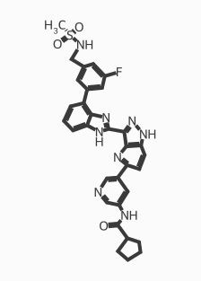 CS(=O)(=O)NCc1cc(F)cc(-c2cccc3[nH]c(-c4n[nH]c5ccc(-c6cncc(NC(=O)C7CCCC7)c6)nc45)nc23)c1